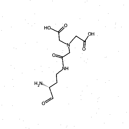 N[C@@H](C=O)CCNC(=O)CN(CC(=O)O)CC(=O)O